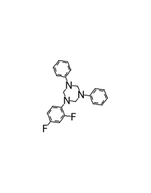 Fc1ccc(N2CN(c3ccccc3)CN(c3ccccc3)C2)c(F)c1